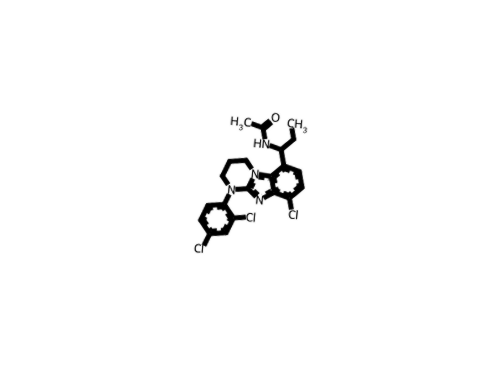 CCC(NC(C)=O)c1ccc(Cl)c2nc3n(c12)CCCN3c1ccc(Cl)cc1Cl